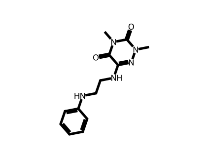 Cn1nc(NCCNc2ccccc2)c(=O)n(C)c1=O